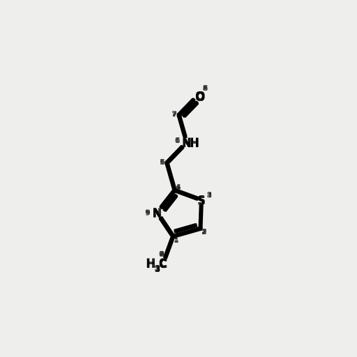 Cc1csc(CN[C]=O)n1